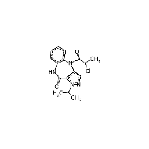 CC(Cl)C(=O)N1c2ccccc2NC(=O)c2c1cnn2C(C)C